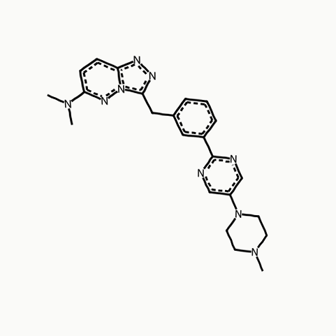 CN1CCN(c2cnc(-c3cccc(Cc4nnc5ccc(N(C)C)nn45)c3)nc2)CC1